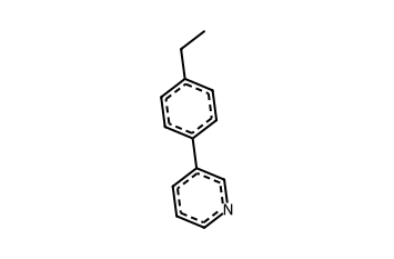 CCc1ccc(-c2cccnc2)cc1